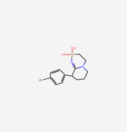 CC(=O)c1ccc(C2CCCN3CCS(O)(O)N=C23)cc1